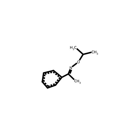 CC(=NOC(C)C)c1cc[c]cc1